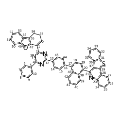 C1=C(c2nc(-c3ccccc3)nc(-c3ccc(-c4ccc(-c5nc6ccccc6c6sc7ccccc7c56)c5ccccc45)cc3)n2)c2oc3ccccc3c2CC1